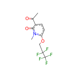 CC(=O)c1ccc(OCC(F)(F)C(F)(F)F)n(C)c1=O